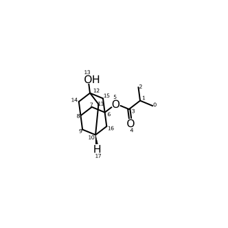 CC(C)C(=O)OC12CC3C[C@H](CC(O)(C3)C1)C2